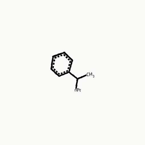 [CH]CCC(C)c1ccccc1